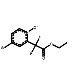 CCOC(=O)C(F)(F)c1cc(Br)cc[n+]1[O-]